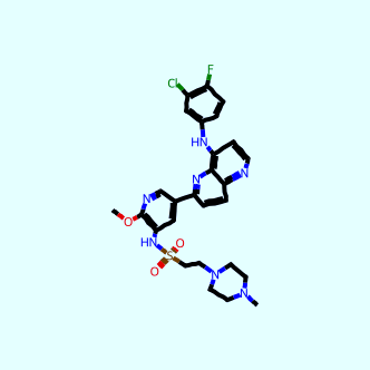 COc1ncc(-c2ccc3nccc(Nc4ccc(F)c(Cl)c4)c3n2)cc1NS(=O)(=O)CCN1CCN(C)CC1